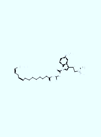 CCCCC/C=C\C/C=C\CCCCCCCC(=O)OC(C)OC(=O)n1cc(CCN(C)C)c2cc(OC)ccc21